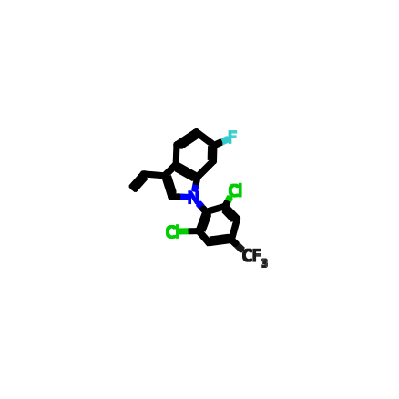 C=Cc1cn(-c2c(Cl)cc(C(F)(F)F)cc2Cl)c2cc(F)ccc12